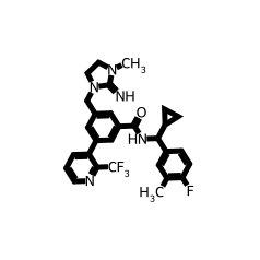 Cc1cc(C(NC(=O)c2cc(CN3CCN(C)C3=N)cc(-c3cccnc3C(F)(F)F)c2)C2CC2)ccc1F